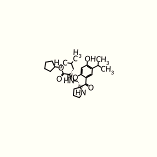 CC(C)C[C@H](NC[C@@]1(C(=O)c2cc(C(C)C)c(O)cc2O)CCCN1)C(=O)OC1CCCC1